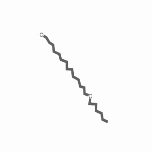 CCCCCCOCCCCCCCCCCCCCC[O]